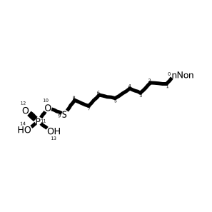 CCCCCCCCCCCCCCCCCSOP(=O)(O)O